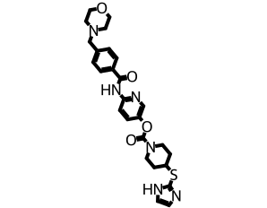 O=C(Nc1ccc(OC(=O)N2CCC(Sc3ncc[nH]3)CC2)cn1)c1ccc(CN2CCOCC2)cc1